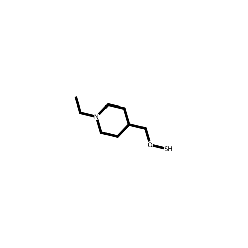 CCN1CCC(COS)CC1